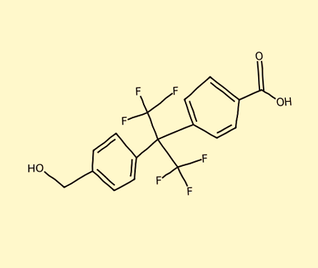 O=C(O)c1ccc(C(c2ccc(CO)cc2)(C(F)(F)F)C(F)(F)F)cc1